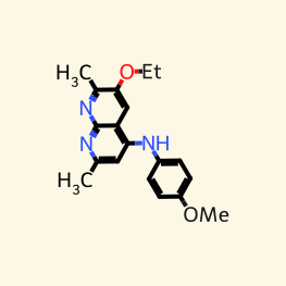 CCOc1cc2c(Nc3ccc(OC)cc3)cc(C)nc2nc1C